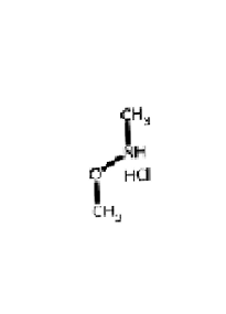 CNOC.Cl